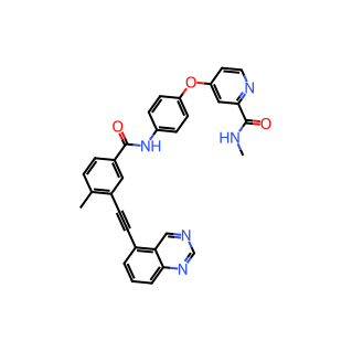 CNC(=O)c1cc(Oc2ccc(NC(=O)c3ccc(C)c(C#Cc4cccc5ncncc45)c3)cc2)ccn1